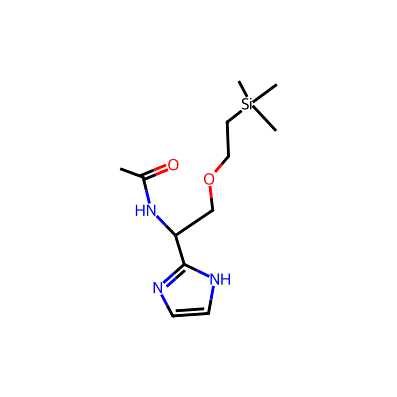 CC(=O)NC(COCC[Si](C)(C)C)c1ncc[nH]1